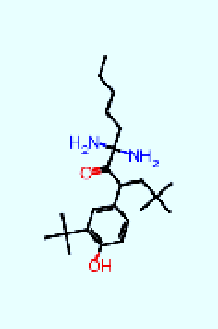 CCCCCC(N)(N)C(=O)C(CC(C)(C)C)c1ccc(O)c(C(C)(C)C)c1